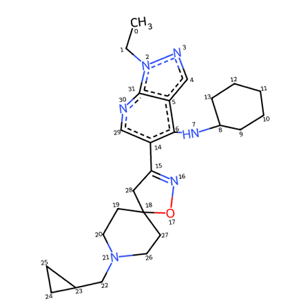 CCn1ncc2c(NC3CCCCC3)c(C3=NOC4(CCN(CC5CC5)CC4)C3)cnc21